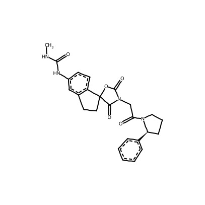 CNC(=O)Nc1ccc2c(c1)CCC21OC(=O)N(CC(=O)N2CCC[C@H]2c2ccccc2)C1=O